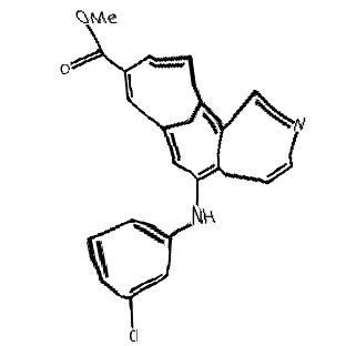 COC(=O)c1ccc2c(c1)cc(Nc1cccc(Cl)c1)c1ccncc12